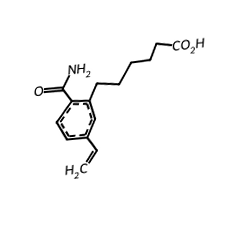 C=Cc1ccc(C(N)=O)c(CCCCCC(=O)O)c1